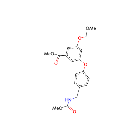 COCOc1cc(Oc2ccc(CNC(=O)OC)cc2)cc(C(=O)OC)c1